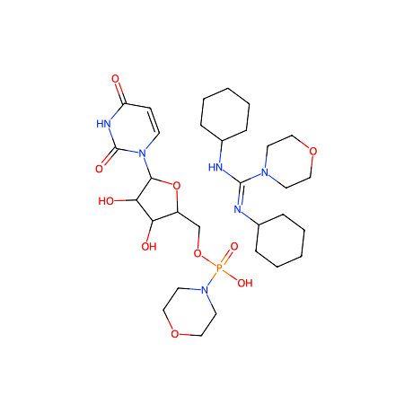 C1CCC(N=C(NC2CCCCC2)N2CCOCC2)CC1.O=c1ccn(C2OC(COP(=O)(O)N3CCOCC3)C(O)C2O)c(=O)[nH]1